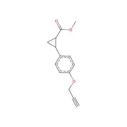 C#CCOc1ccc(C2CC2C(=O)OC)cc1